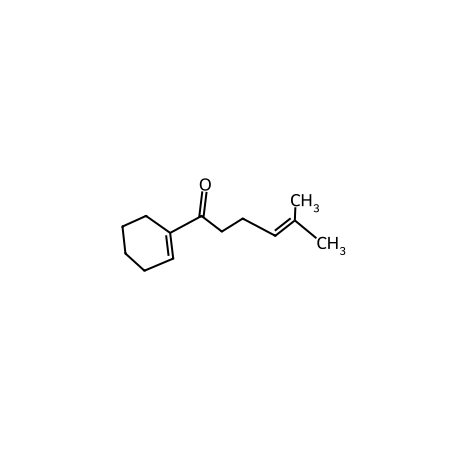 CC(C)=CCCC(=O)C1=CCCCC1